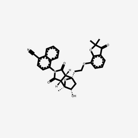 CC1(C)Oc2c(OCC[C@]34C[C@H](O)[C@](C)(O3)[C@@H]3C(=O)N(c5ccc(C#N)c6ccccc56)C(=O)[C@@H]34)cccc2C1=O